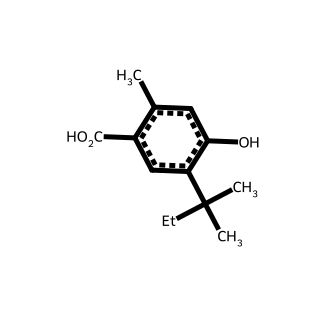 CCC(C)(C)c1cc(C(=O)O)c(C)cc1O